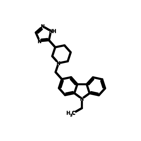 CCn1c2ccccc2c2cc(CN3CCCC(c4ncn[nH]4)C3)ccc21